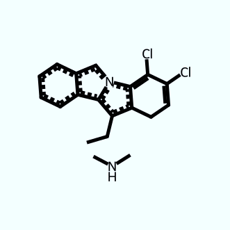 CCc1c2c(n3cc4ccccc4c13)=C(Cl)C(Cl)=CC2.CNC